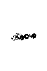 CC(C)(Oc1ccc(C2CCC(NCc3ccccc3)CC2)cc1)C(=O)O